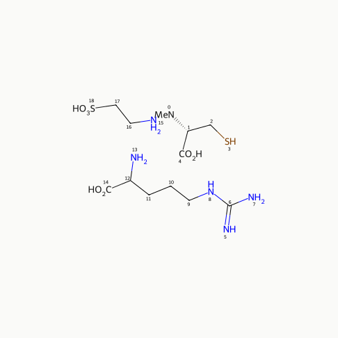 CN[C@H](CS)C(=O)O.N=C(N)NCCCC(N)C(=O)O.NCCS(=O)(=O)O